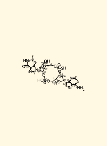 CC1=NC2C(N=CN2[C@@H]2O[C@@H]3CO[P@@](=O)(S)O[C@H]4C[C@H](c5snc6c(N)ncnc56)O[C@@H]4COP(=O)(O)O[C@@H]2[C@@H]3CO)C(=O)N1